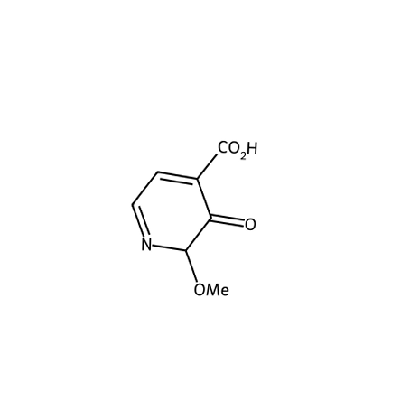 COC1N=CC=C(C(=O)O)C1=O